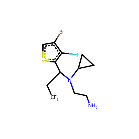 NCCN(C1CC1)C(CC(F)(F)F)c1scc(Br)c1F